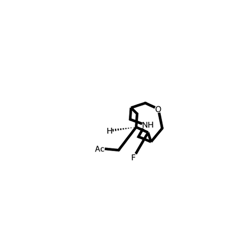 CC(=O)C[C@H]1CC2CNCC(COC2)C1F